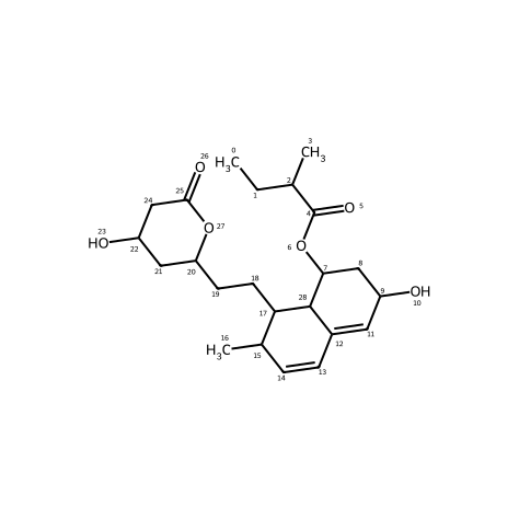 CCC(C)C(=O)OC1CC(O)C=C2C=CC(C)C(CCC3CC(O)CC(=O)O3)C21